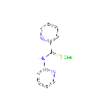 Cl.Cl.S=C(Nc1ccccn1)c1ccccn1